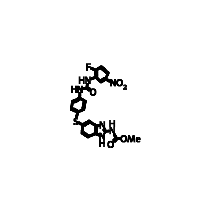 COC(=O)Nc1nc2cc(Sc3ccc(NC(=O)Nc4cc([N+](=O)[O-])ccc4F)cc3)ccc2[nH]1